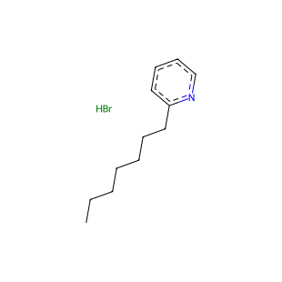 Br.CCCCCCCc1ccccn1